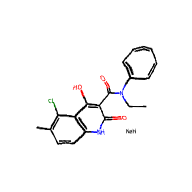 CCN(C(=O)c1c(O)c2c(Cl)c(C)ccc2[nH]c1=O)c1ccccc1.[NaH]